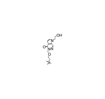 C[Si](C)(C)CCOCn1ncc2c(ccn2CCO)c1=O